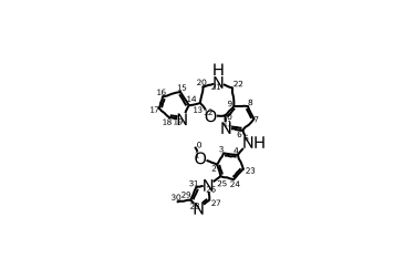 COc1cc(Nc2ccc3c(n2)OC(c2ccccn2)CNC3)ccc1-n1cnc(C)c1